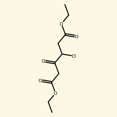 CCOC(=O)CC(=O)C(Cl)CC(=O)OCC